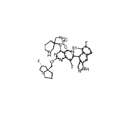 CCc1c(F)ccc2cc3[nH]ncc3c(-c3ncc4c(N5C6(CCCNC6)CNS5(=O)=O)nc(OC[C@@]56CCCN5C[C@H](F)C6)nc4c3F)c12